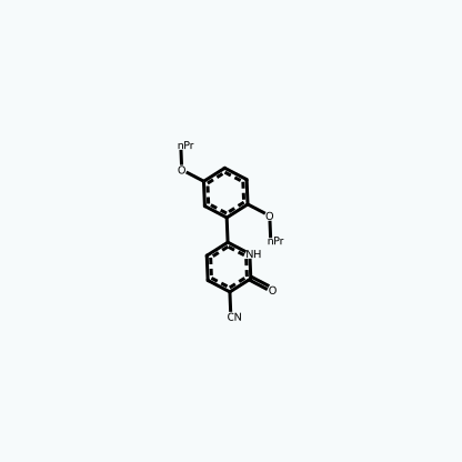 CCCOc1ccc(OCCC)c(-c2ccc(C#N)c(=O)[nH]2)c1